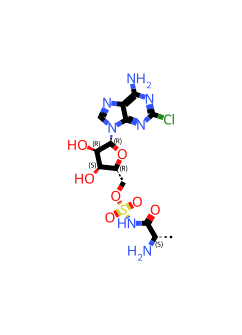 C[C@H](N)C(=O)NS(=O)(=O)OC[C@H]1O[C@@H](n2cnc3c(N)nc(Cl)nc32)[C@H](O)[C@@H]1O